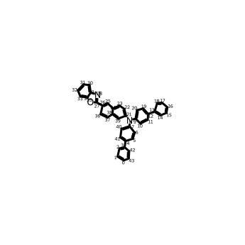 c1ccc(-c2ccc(N(c3ccc(-c4ccccc4)cc3)c3ccc4cc(-c5nc6ccccc6o5)ccc4c3)cc2)cc1